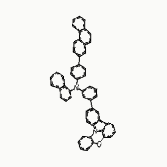 c1cc(-c2ccc3c(c2)c2cccc4c2n3-c2ccccc2O4)cc(N(c2ccc(-c3ccc4c(ccc5ccccc54)c3)cc2)c2cccc3ccccc23)c1